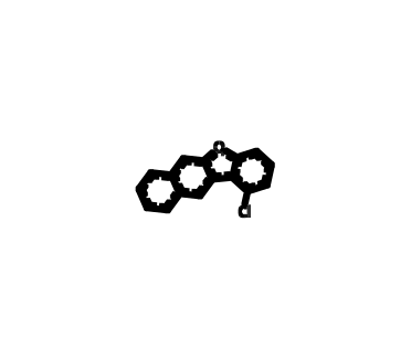 Clc1cccc2oc3cc4ccccc4cc3c12